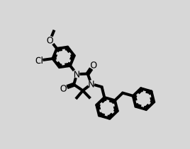 COc1ccc(N2C(=O)N(Cc3ccccc3Cc3ccccc3)C(C)(C)C2=O)cc1Cl